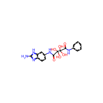 Nc1nc2ccc(NC(=O)C(O)(O)C(O)(O)C(=O)Nc3ccccc3)cc2[nH]1